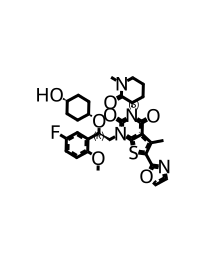 COc1ccc(F)cc1[C@H](Cn1c(=O)n([C@H]2CCCN(C)C2=O)c(=O)c2c(C)c(-c3ncco3)sc21)O[C@H]1CC[C@@H](O)CC1